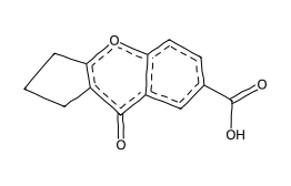 O=C(O)c1ccc2oc3c(c(=O)c2c1)CCC3